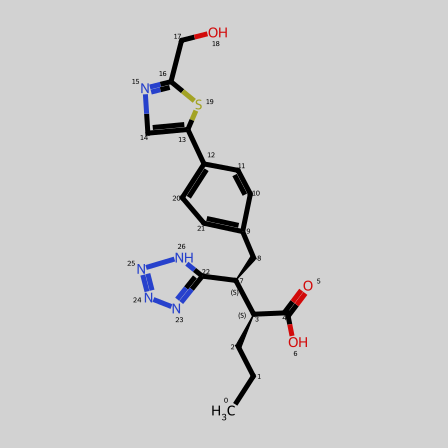 CCC[C@H](C(=O)O)[C@H](Cc1ccc(-c2cnc(CO)s2)cc1)c1nnn[nH]1